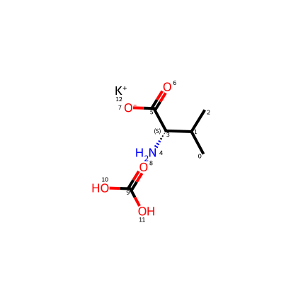 CC(C)[C@H](N)C(=O)[O-].O=C(O)O.[K+]